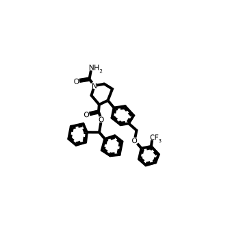 NC(=O)N1CCC(c2ccc(COc3ccccc3C(F)(F)F)cc2)C(C(=O)OC(c2ccccc2)c2ccccc2)C1